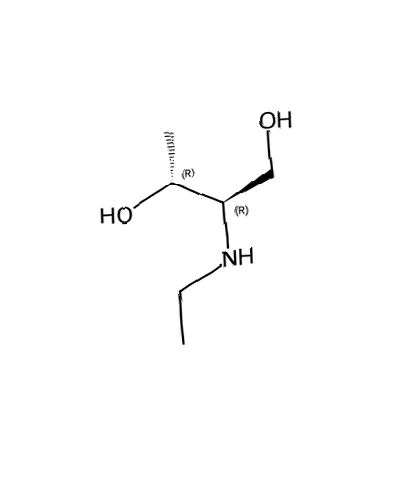 CCN[C@H](CO)[C@@H](C)O